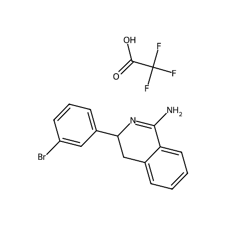 NC1=NC(c2cccc(Br)c2)Cc2ccccc21.O=C(O)C(F)(F)F